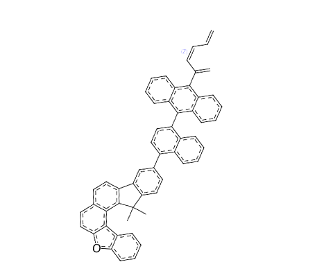 C=C/C=C\C(=C)c1c2ccccc2c(-c2ccc(-c3ccc4c(c3)-c3ccc5ccc6oc7ccccc7c6c5c3C4(C)C)c3ccccc23)c2ccccc12